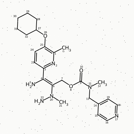 Cc1nc(/C(N)=C(\COC(=O)N(C)Cc2ccncc2)N(C)N)ccc1OC1CCCCC1